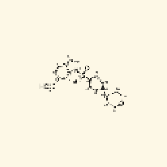 O=C(O)c1ccc2ccn(S(=O)(=O)c3ccc(N4CCOCC4)cc3)c2c1